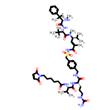 CN[C@H](C(=O)N[C@H](C(=O)N(C)[C@H](C=C(C)C(=O)NS(=O)(=O)Cc1ccc(CNC(=O)[C@H](CCCNC(N)=O)NC(=O)[C@@H](NC(=O)CCCCCN2C(=O)C=CC2=O)C(C)C)cc1)C(C)C)C(C)(C)C)C(C)(C)c1ccccc1